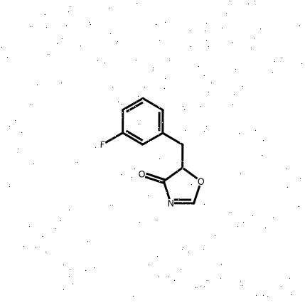 O=C1N=COC1Cc1cccc(F)c1